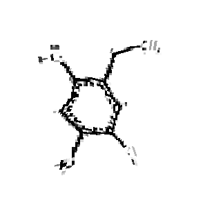 CCc1cc(Cl)c(O)cc1O